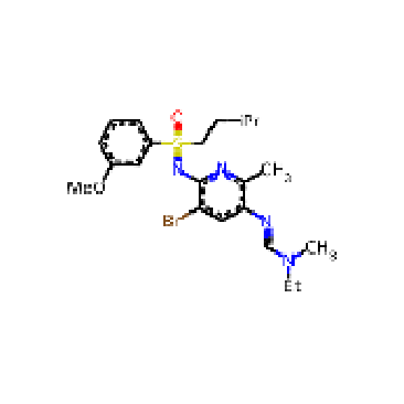 CCN(C)C=Nc1cc(Br)c(N=S(=O)(CCC(C)C)c2cccc(OC)c2)nc1C